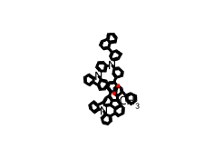 CC1(c2ccccc2-c2ccccc2)c2cccc3c2-c2c1c(-c1ccc(-c4cccc(N(c5cccc(-c6cccc7ccccc67)c5)c5cccc(-n6c7ccccc7c7ccccc76)c5)c4)cc1)cc1c4ccccc4n(c21)-c1ccccc1-3